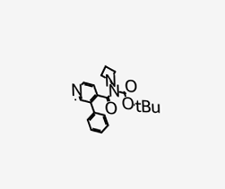 CC(C)(C)OC(=O)N(C(=O)c1ccn[c]c1-c1ccccc1)N1CCC1